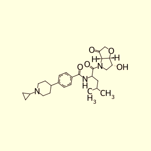 CC(C)CC(NC(=O)c1ccc(C2CCN(C3CC3)CC2)cc1)C(=O)N1C[C@@H](O)[C@H]2OCC(=O)[C@H]21